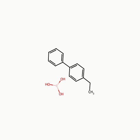 CCc1ccc(-c2ccccc2)cc1.OB(O)O